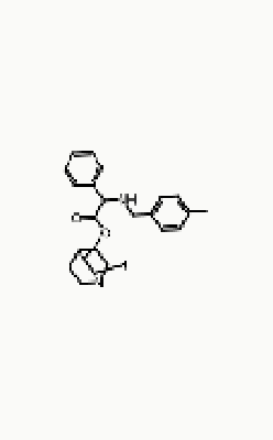 Cc1ccc(CNC(C(=O)OC2C3CCN(CC3)C2I)c2ccccc2)cc1